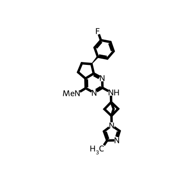 CNc1nc(NC23CC(n4cnc(C)c4)(C2)C3)nc2c1CC[C@H]2c1cccc(F)c1